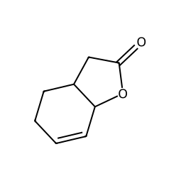 O=C1CC2CCC=CC2O1